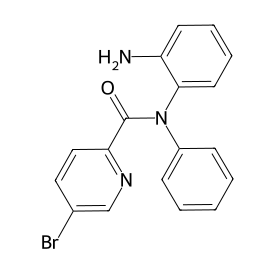 Nc1ccccc1N(C(=O)c1ccc(Br)cn1)c1ccccc1